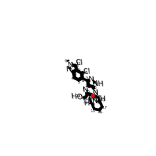 Cn1nc2ccc(-c3n[nH]c4nc(N5[C@@H]6CCC[C@H]5CNC6)c(CO)nc34)c(Cl)c2c1Cl